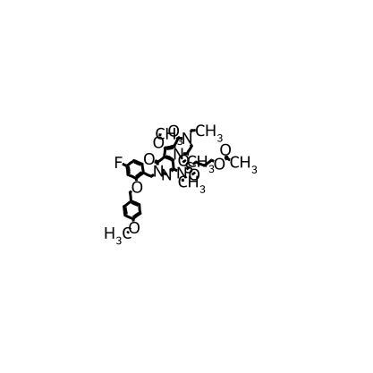 CCN1C[C@H](C)n2c(c(OC)c3c(=O)n(Cc4ccc(F)cc4OCc4ccc(OC)cc4)nc(N(C)S(=O)(=O)CCCOC(C)=O)c32)C1=O